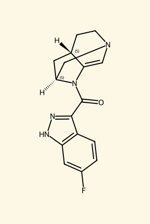 O=C(c1n[nH]c2cc(F)ccc12)N1C2=CN3CC[C@H]2C[C@H]1C3